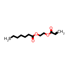 BCCCCCC(=O)OCCOC(=O)C=C